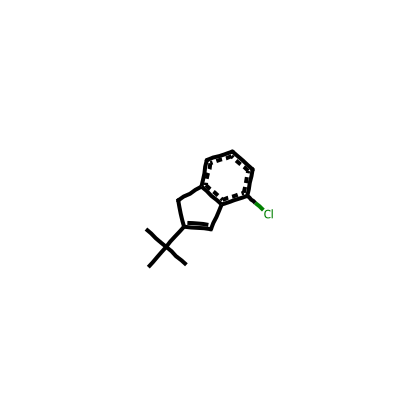 CC(C)(C)C1=Cc2c(Cl)cccc2C1